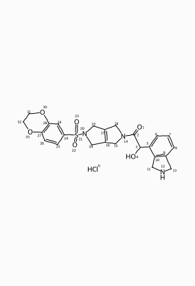 Cl.O=C(C(O)c1cccc2c1CNC2)N1CC2=C(C1)CN(S(=O)(=O)c1ccc3c(c1)OCCO3)C2